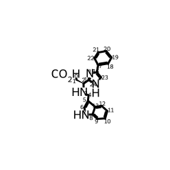 O=C(O)C[C@H](NCc1c[nH]c2ccccc12)c1nc(-c2ccccc2)c[nH]1